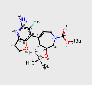 CC(C)(C)OC(=O)N1CC=C(c2c(F)c(N)nc3c2OCC3)C[C@H](O[Si](C)(C)C(C)(C)C)C1